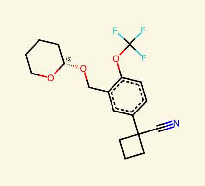 N#CC1(c2ccc(OC(F)(F)F)c(CO[C@H]3CCCCO3)c2)CCC1